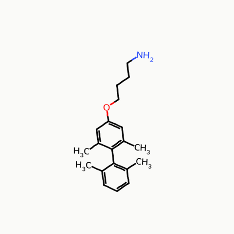 Cc1cccc(C)c1-c1c(C)cc(OCCCCN)cc1C